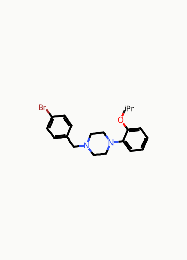 CC(C)Oc1ccccc1N1CCN(Cc2ccc(Br)cc2)CC1